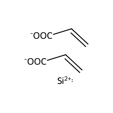 C=CC(=O)[O-].C=CC(=O)[O-].[Si+2]